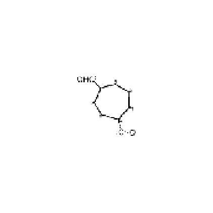 O=CC1CCCC(C=O)CC1